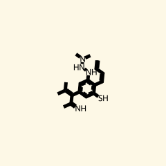 C=C/C=C\c1c(S)cc(C(C(C)=N)=C(C)C)cc1NNN(C)C